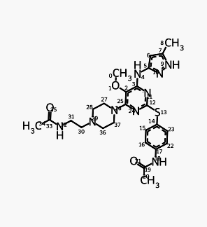 COc1c(Nc2cc(C)[nH]n2)nc(Sc2ccc(NC(C)=O)cc2)nc1N1CCN(CCNC(C)=O)CC1